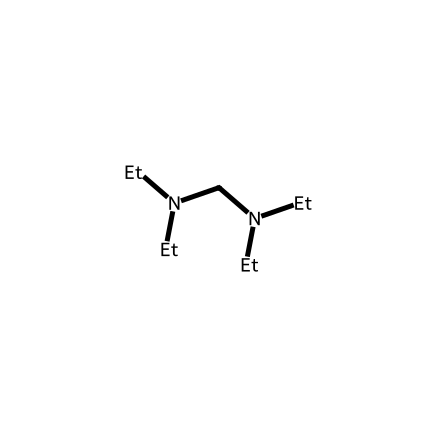 CCN(CC)CN(CC)CC